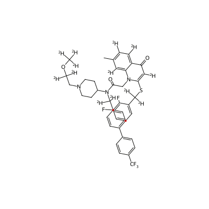 [2H]c1c(C)c([2H])c2c(c1[2H])c(=O)c([2H])c(SC([2H])([2H])c1cccc(F)c1F)n2CC(=O)N(C1CCN(CC([2H])([2H])OC([2H])([2H])[2H])CC1)C([2H])([2H])c1ccc(-c2ccc(C(F)(F)F)cc2)cc1